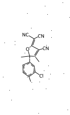 CC1=C(C#N)C(=C(C#N)C#N)OC1(C)c1ccc(C)c(Cl)c1